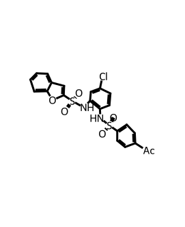 CC(=O)c1ccc(S(=O)(=O)Nc2ccc(Cl)cc2NS(=O)(=O)c2cc3ccccc3o2)cc1